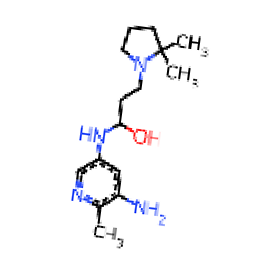 Cc1ncc(NC(O)CCN2CCCC2(C)C)cc1N